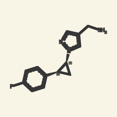 NCc1cnn([C@@H]2C[C@@H]2c2ccc(F)cc2)c1